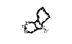 [O-][s+]1c2ccccc2c2nnncc21